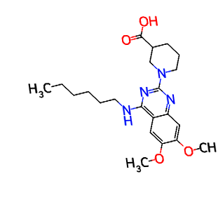 CCCCCCNc1nc(N2CCCC(C(=O)O)C2)nc2cc(OC)c(OC)cc12